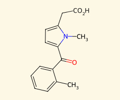 Cc1ccccc1C(=O)c1ccc(CC(=O)O)n1C